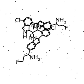 NC(CCF)c1ccc2[nH]c(-c3ccc(Cl)c4c3C(C(=O)C3NCc5c(Cl)ccc(-c6cc7cc(C(N)CCF)ccc7[nH]6)c53)NC4)cc2c1